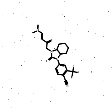 CN(C)/C=C/C(=O)CN1C(=O)N(c2ccc(C#N)c(C(F)(F)F)c2)C2CCCCC21